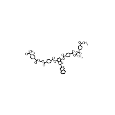 CC(=O)C1CCC(C(=O)OCOC(=O)C2CCC(C(=O)Oc3ccc(OC(=O)C4CCC(C(=O)OC(C)OC(=O)C5CCC(C(C)=O)CC5)CC4)c4nc(-c5cc6ccccc6s5)sc34)CC2)CC1